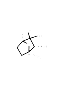 CC1(C)[C@H](O)[C@@]2(C)CC[C@]1(C)O2